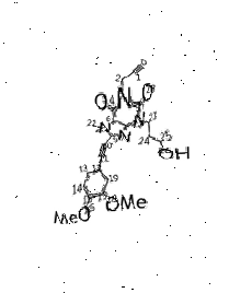 C#CCn1c(=O)c2c(nc(C#Cc3ccc(OC)c(OC)c3)n2C)n(CCCO)c1=O